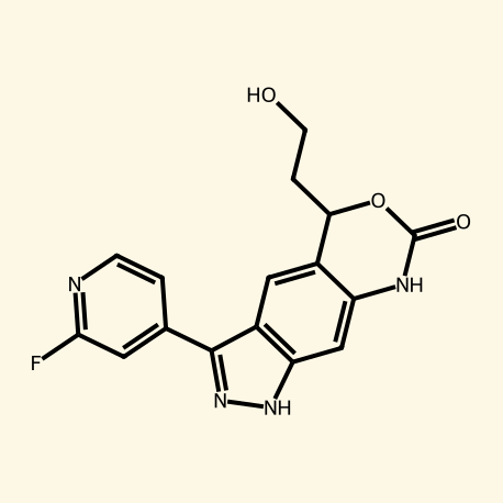 O=C1Nc2cc3[nH]nc(-c4ccnc(F)c4)c3cc2C(CCO)O1